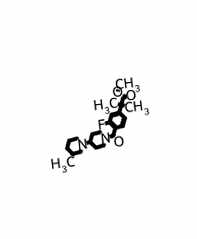 COC(=O)C(C)(C)c1ccc(C(=O)N2CCC(N3CCCC(C)C3)CC2)c(F)c1